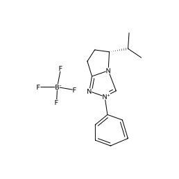 CC(C)[C@H]1CCc2n[n+](-c3ccccc3)cn21.F[B-](F)(F)F